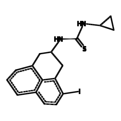 S=C(NC1CC1)NC1Cc2cccc3ccc(I)c(c23)C1